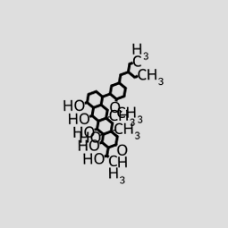 CCC(CC)CC1CCC(OC)C(C2CCC(O)C3C(O)C4C(O)[C@]5(O)C(O)C(C(C)O)C(O)C[C@]5(C)C[C@]4(C)CC23)C1